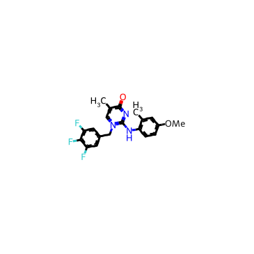 COc1ccc(Nc2nc(=O)c(C)cn2Cc2cc(F)c(F)c(F)c2)c(C)c1